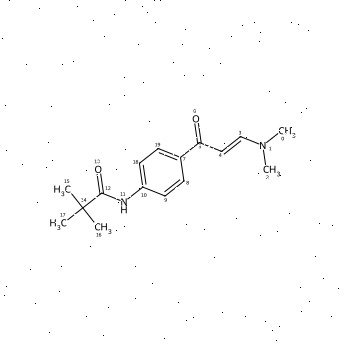 CN(C)C=CC(=O)c1ccc(NC(=O)C(C)(C)C)cc1